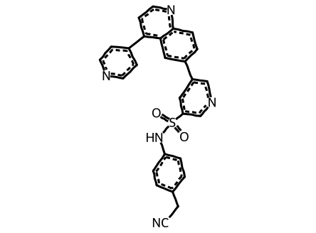 N#CCc1ccc(NS(=O)(=O)c2cncc(-c3ccc4nccc(-c5ccncc5)c4c3)c2)cc1